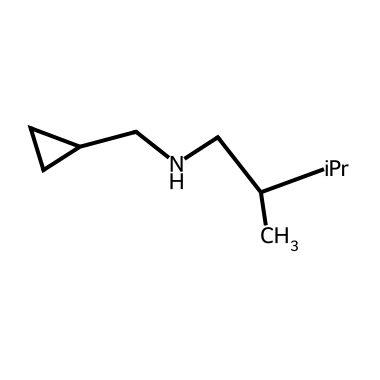 CC(C)C(C)CNCC1CC1